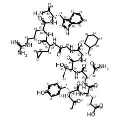 CC(=O)N[C@H](Cc1ccc(O)cc1)C(=O)N[C@@H](CCC(=O)O)C(=O)N[C@@H](CC(N)=O)C(=O)N[C@H](C(=O)N[C@@H](CC1CCCCC1)C(=O)NCC(=O)N[C@@H](CC1CC1)C(=O)N[C@@H](CCCNC(=N)N)C(=O)N[C@@H](Cc1c[nH]c2ccccc12)C(N)=O)[C@@H](C)O